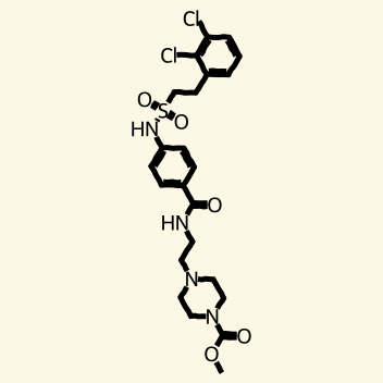 COC(=O)N1CCN(CCNC(=O)c2ccc(NS(=O)(=O)CCc3cccc(Cl)c3Cl)cc2)CC1